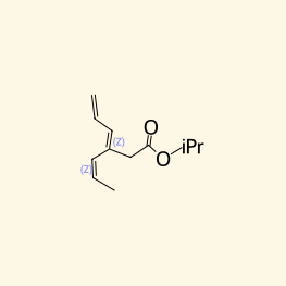 C=C/C=C(\C=C/C)CC(=O)OC(C)C